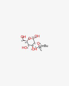 CCCC[Si](C)(C)O[C@@H]1[C@@H](O)[C@H](O)[C@@H](CO)O[C@H]1O